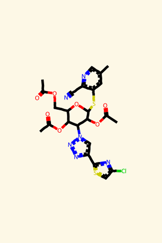 CC(=O)OCC1OC(Sc2cc(C)cnc2C#N)C(OC(C)=O)C(n2cc(-c3nc(Cl)cs3)nn2)C1OC(C)=O